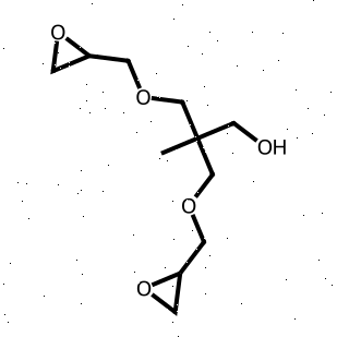 CC(CO)(COCC1CO1)COCC1CO1